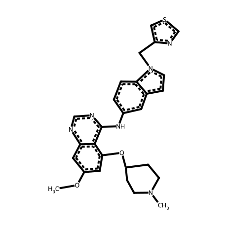 COc1cc(OC2CCN(C)CC2)c2c(Nc3ccc4c(ccn4Cc4cscn4)c3)ncnc2c1